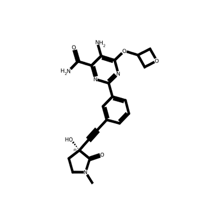 CN1CC[C@@](O)(C#Cc2cccc(-c3nc(OC4COC4)c(N)c(C(N)=O)n3)c2)C1=O